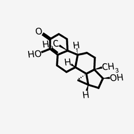 C[C@]12CCC(=O)C(O)=C1CC[C@@H]1[C@@H]2CC[C@]2(C)[C@@H](O)C[C@@H]3C[C@]312